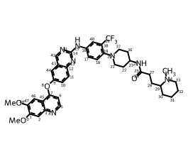 COc1cc2nccc(Oc3ccc4nc(Nc5ccc(N6CCC(NC(=O)CCC7CCCCN7C)CC6)c(C(F)(F)F)c5)ncc4c3)c2cc1OC